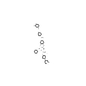 Cc1cccc(NC(=O)N2Cc3cc4c(cc3C[C@H]2C(=O)N[C@@H](Cc2ccc(-c3ccnc(C)c3C)cc2)C(=O)O)OC[C@H](c2ccc(OCc3ccc(Cl)c(Cl)c3)cc2)O4)c1